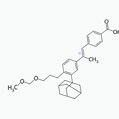 COCOCCCc1ccc(/C(C)=C/c2ccc(C(=O)O)cc2)cc1C12CC3CC(CC(C3)C1)C2